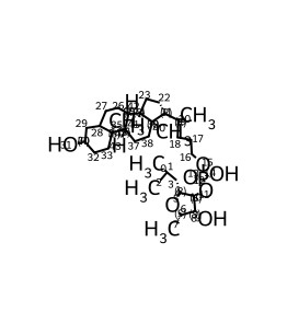 CC(C)C[C@H]1O[C@@H](C)[C@H](O)[C@@H]1OP(=O)(O)OCCC[C@@H](C)[C@H]1CC[C@H]2[C@@H]3CCC4C[C@H](O)CC[C@]4(C)[C@H]3CC[C@]12C